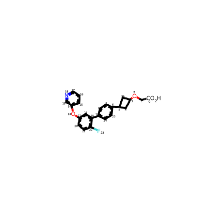 O=C(O)COC1CC(c2ccc(-c3cc(Oc4cccnc4)ccc3F)cc2)C1